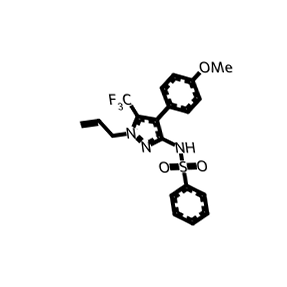 C=CCn1nc(NS(=O)(=O)c2ccccc2)c(-c2ccc(OC)cc2)c1C(F)(F)F